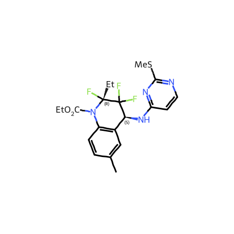 CCOC(=O)N1c2ccc(C)cc2[C@H](Nc2ccnc(SC)n2)C(F)(F)[C@]1(F)CC